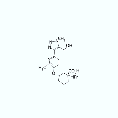 Cc1nc(-c2nnn(C)c2CO)ccc1O[C@H]1CCC[C@@](C(=O)O)(C(C)C)C1